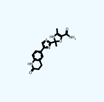 CC1=C(C(N)=O)OC(C)(c2nc(-c3ccc4c(c3)CCC(=O)N4)cs2)N1